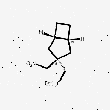 CCOC(=O)C[C@@]1(C[N+](=O)[O-])C[C@H]2CC[C@H]2C1